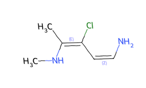 CN/C(C)=C(Cl)\C=C/N